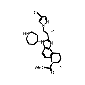 COC(=O)N1c2ccc3c(nc([C@@H](C)Cn4cc(Cl)cn4)n3[C@@H]3CCCNCC3)c2CC[C@@H]1C